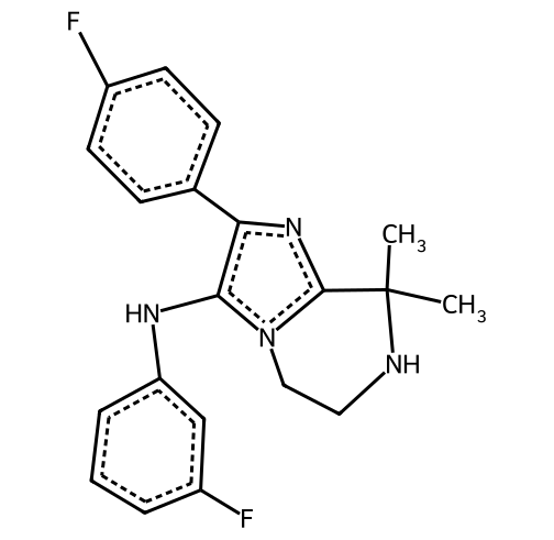 CC1(C)NCCn2c1nc(-c1ccc(F)cc1)c2Nc1cccc(F)c1